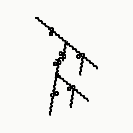 CCCCCCCCCOC(=O)CCCCCCCN(CCCCCCCC(=O)OC(CCCCCCCC)CCCCCCCC)CCCCC(=O)OC(C)CC(C)OC(=O)CCCCN(CCCCCCCC(=O)OCCCCCCCCC)CCCCCCCC(=O)OC(CCCCCCCC)CCCCCCCC